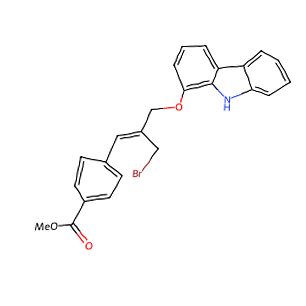 COC(=O)c1ccc(C=C(CBr)COc2cccc3c2[nH]c2ccccc23)cc1